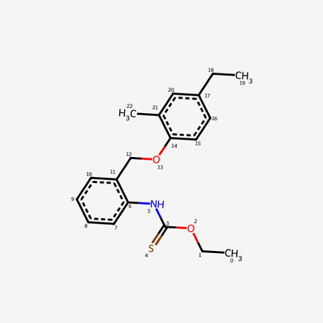 CCOC(=S)Nc1ccccc1COc1ccc(CC)cc1C